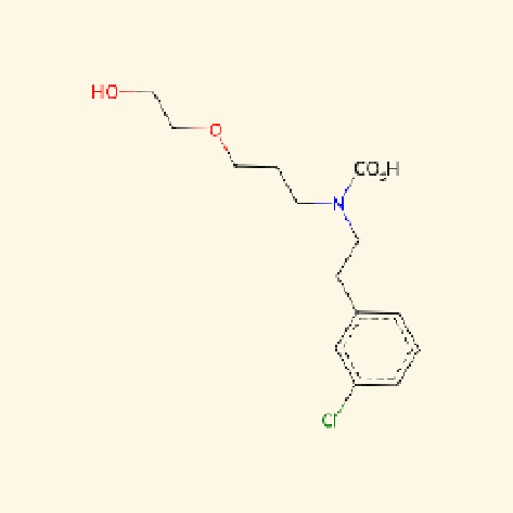 O=C(O)N(CCCOCCO)CCc1cccc(Cl)c1